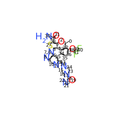 CC(Oc1cc(-n2cnc3cnc(CN4CCN(C(=O)N(C)C)CC4)cc32)sc1C(N)=O)c1ccccc1OC(F)F